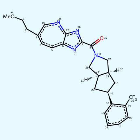 COCCc1ccc2nc(C(=O)N3C[C@H]4C[C@@H](c5ccccc5C(F)(F)F)C[C@H]4C3)nc-2nc1